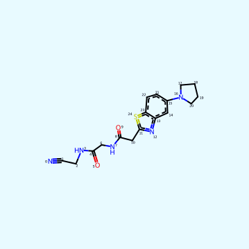 N#CCNC(=O)CNC(=O)Cc1nc2cc(N3CCCC3)ccc2s1